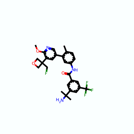 COc1ncc(-c2cc(NC(=O)c3cc(C(C)(C)N)cc(C(F)(F)F)c3)ccc2C)cc1C1(CF)COC1